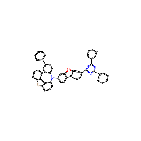 c1ccc(-c2ccc(N(c3ccc4c(c3)oc3cc(-c5nc(-c6ccccc6)nc(-c6ccccc6)n5)ccc34)c3cccc4sc5ccccc5c34)cc2)cc1